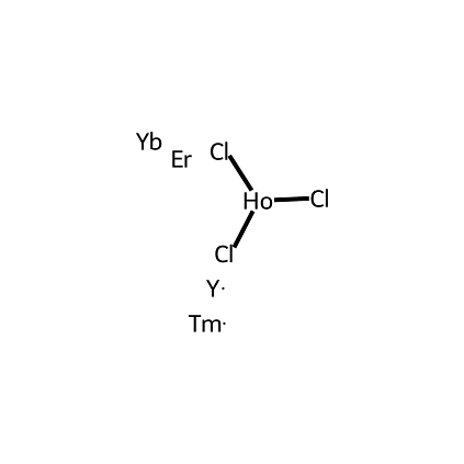 [Cl][Ho]([Cl])[Cl].[Er].[Tm].[Y].[Yb]